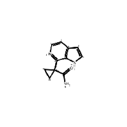 NC(=O)C1(c2nccc3cc[nH]c23)CC1